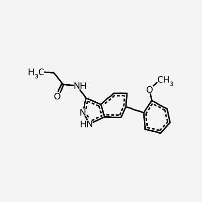 CCC(=O)Nc1n[nH]c2cc(-c3ccccc3OC)ccc12